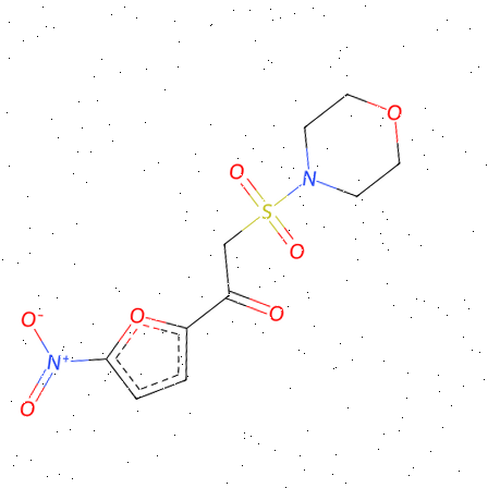 O=C(CS(=O)(=O)N1CCOCC1)c1ccc([N+](=O)[O-])o1